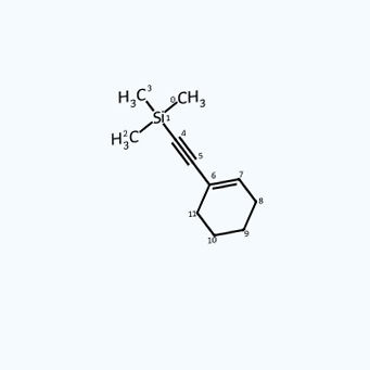 C[Si](C)(C)C#CC1=CCCCC1